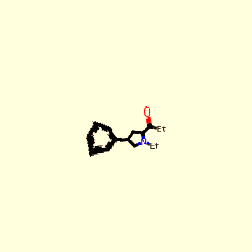 CCC(=O)C1CC(c2ccccc2)CN1CC